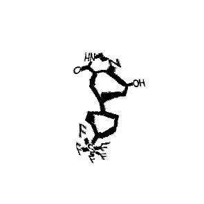 O=c1[nH]cnc2c(O)cc(-c3ccc(S(F)(F)(F)(F)F)cc3)cc12